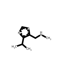 CNCc1scnc1C(C)C